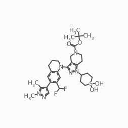 Cc1c(-c2cc3c(cc2C(F)F)N(c2nn(C4CCS(O)(O)CC4)c4c2CN(C(=O)OC(C)(C)C)CC4)CCC3)cnn1C